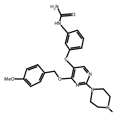 COc1ccc(COc2nc(N3CCN(C)CC3)ncc2Sc2cccc(NC(N)=O)c2)cc1